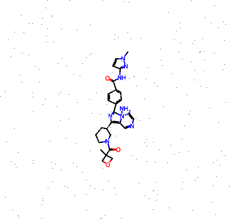 Cn1ccc(NC(=O)c2ccc(C3=NC([C@@H]4CCCN(C(=O)C5(C)COC5)C4)=C4C=NC=C[N+]34N)cc2)n1